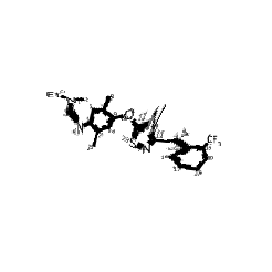 CCN(C)/C=N\c1cc(C)c(Oc2nc(Cc3ccccc3C(F)(F)F)ns2)cc1C